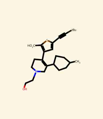 CC1CCC(C2=C(c3cc(C#CC(C)(C)C)sc3C(=O)O)CCN(CCO)C2)CC1